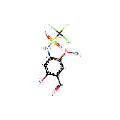 COc1cc(C=O)c(Br)cc1NS(=O)(=O)C(F)(F)F